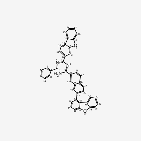 N/C(=N\C(=N/Cc1ccccc1)c1ccc2c(c1)oc1ccccc12)c1ccc2ccc(-c3cccc4oc5ccccc5c34)cc2c1